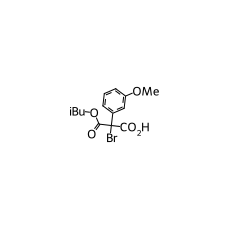 CCC(C)OC(=O)C(Br)(C(=O)O)c1cccc(OC)c1